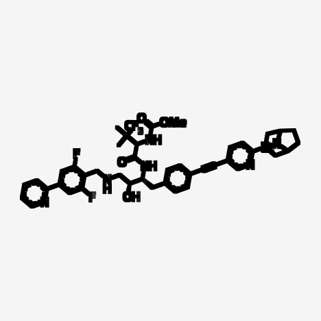 CCN1C2CCC1CN(c1ccc(C#Cc3ccc(C[C@H](NC(=O)C(NC(=O)OC)C(C)(C)C(F)(F)F)[C@@H](O)CNCc4c(F)cc(-c5ccccn5)cc4F)cc3)cn1)C2